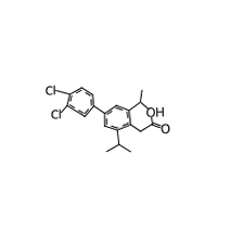 CC(C)c1cc(-c2ccc(Cl)c(Cl)c2)cc(C(C)C)c1CC(=O)O